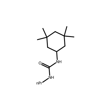 CCCNC(=O)NC1CC(C)(C)CC(C)(C)C1